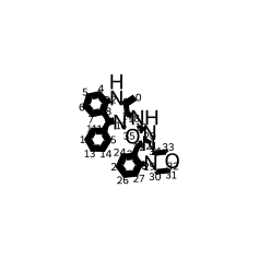 C=C1Nc2ccccc2C(c2ccccc2)=NC1Nc1nnc(-c2ccccc2N2CCOCC2)o1